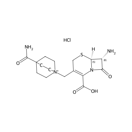 Cl.NC(=O)C12CC[N+](CC3=C(C(=O)O)N4C(=O)[C@@H](N)[C@@H]4SC3)(CC1)CC2